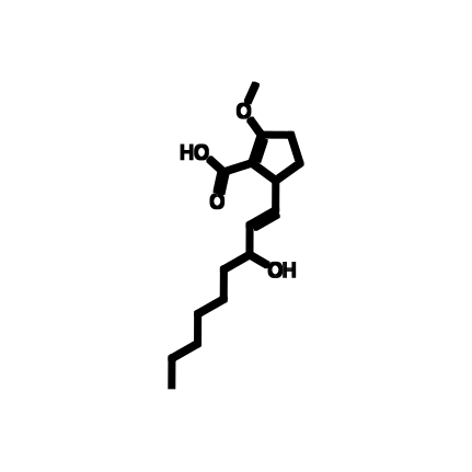 CCCCCCC(O)C=CC1CCC(OC)=C1C(=O)O